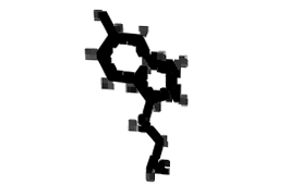 CC(=O)CSc1nnn2cc(C)ccc12